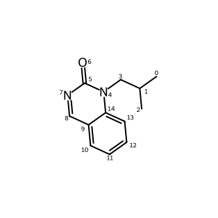 CC(C)Cn1c(=O)ncc2ccccc21